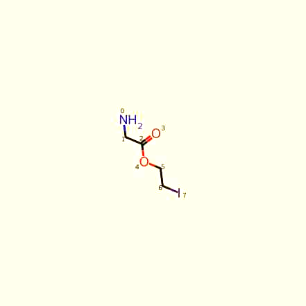 NCC(=O)OCCI